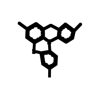 Cc1ccc2c(c1)Cc1cc(C)cc3c1B2c1ccc(C)cc1S3